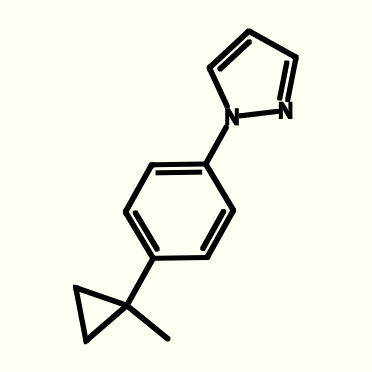 CC1(c2ccc(-n3cccn3)cc2)CC1